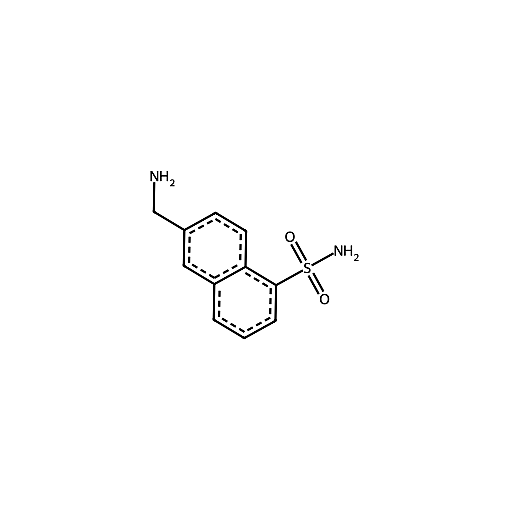 NCc1ccc2c(S(N)(=O)=O)cccc2c1